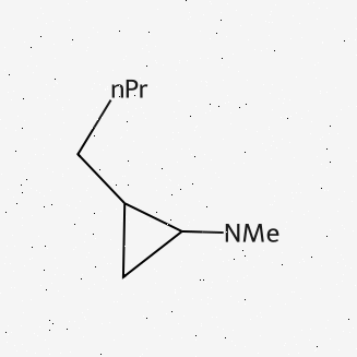 CCCCC1CC1NC